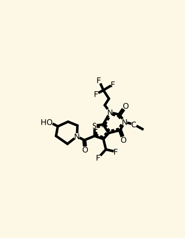 CCn1c(=O)c2c(C(F)F)c(C(=O)N3CCC(O)CC3)sc2n(CCC(F)(F)F)c1=O